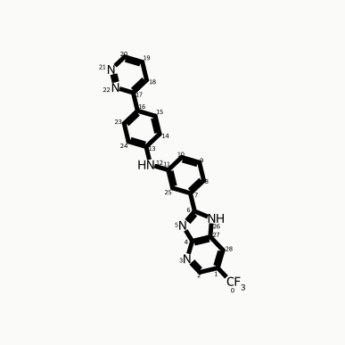 FC(F)(F)c1cnc2nc(-c3cccc(Nc4ccc(-c5cccnn5)cc4)c3)[nH]c2c1